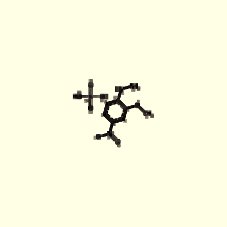 COc1cc([N+](=O)[O-])ccc1NN.O=S(=O)(O)O